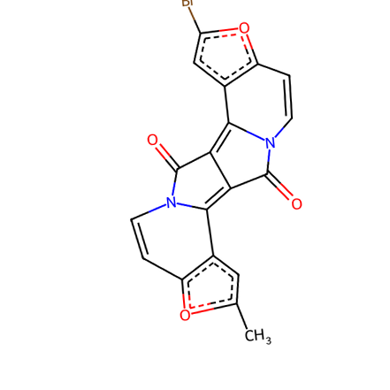 Cc1cc2c(o1)C=CN1C(=O)C3=C4c5cc(Br)oc5C=CN4C(=O)C3=C21